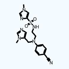 Cn1cnc(S(=O)(=O)NCCN(Cc2cncn2C)c2ccc(C#N)cc2)c1